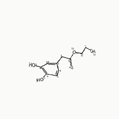 O=C(Cc1ccc(O)c(O)c1)OCCO